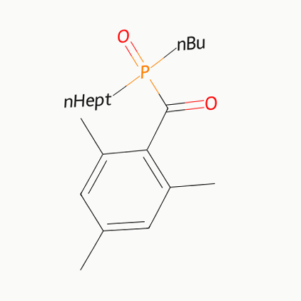 CCCCCCCP(=O)(CCCC)C(=O)c1c(C)cc(C)cc1C